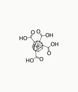 O=C(O)[C]12[CH]3[C]4(C(=O)O)[C]5(C(=O)O)[C]1(C(=O)O)[Fe]32451678[CH]2[CH]1[CH]6[CH]7[CH]28